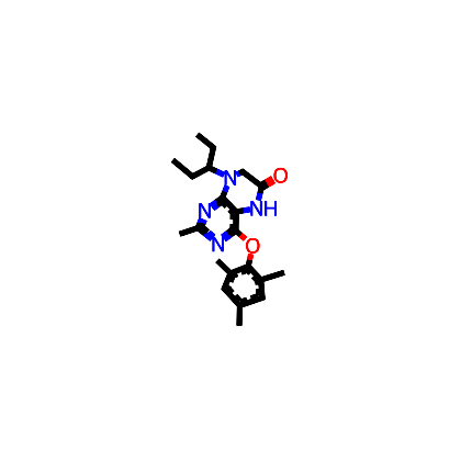 CCC(CC)N1CC(=O)Nc2c(Oc3c(C)cc(C)cc3C)nc(C)nc21